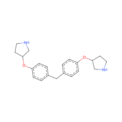 c1cc(OC2CCNC2)ccc1Cc1ccc(OC2CCNC2)cc1